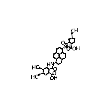 C#Cc1ccc(C(=O)O)c(C(=O)Nc2ccc3ccc4c(NC(=O)c5cc(C#C)c(C#C)cc5C(=O)O)ccc5ccc2c3c54)c1